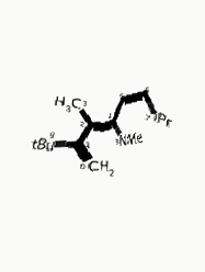 C=C(/C(C)=C(/C=C\C(C)C)NC)C(C)(C)C